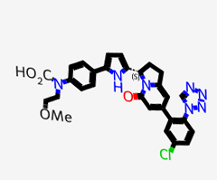 COCCN(C(=O)O)c1ccc(-c2ccc([C@@H]3CCc4cc(-c5cc(Cl)ccc5-n5cnnn5)cc(=O)n43)[nH]2)cc1